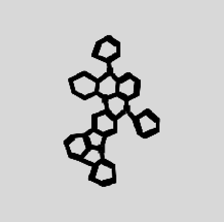 c1ccc(N2c3cc4c(cc3B3c5c2cccc5N(c2ccccc2)C2CCCCC32)c2cccc3c5ccccc5n4c32)cc1